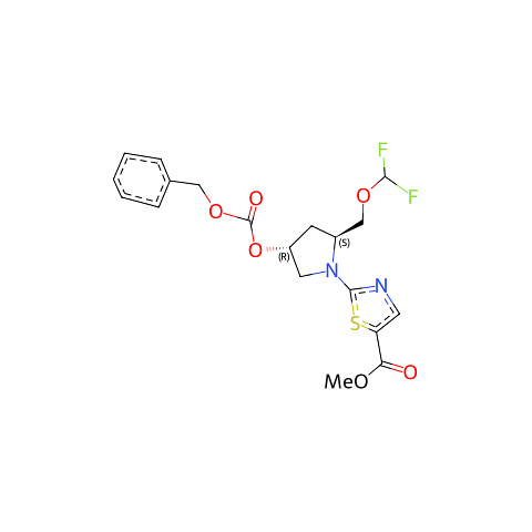 COC(=O)c1cnc(N2C[C@H](OC(=O)OCc3ccccc3)C[C@H]2COC(F)F)s1